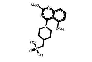 COc1nc(N2CCC(CP(=O)(O)O)CC2)c2c(OC)cccc2n1